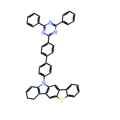 C1=Cc2c(c3cc4sc5ccccc5c4cc3n2-c2ccc(-c3ccc(-c4nc(-c5ccccc5)nc(-c5ccccc5)n4)cc3)cc2)CC1